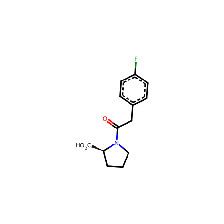 O=C(O)[C@@H]1CCCN1C(=O)Cc1ccc(F)cc1